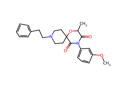 COc1cccc(N2C(=O)C(C)OC3(CCN(CCc4ccccc4)CC3)C2=O)c1